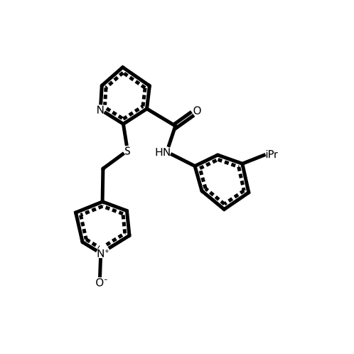 CC(C)c1cccc(NC(=O)c2cccnc2SCc2cc[n+]([O-])cc2)c1